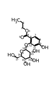 CCCOC(=O)c1ccc(O)cc1O[C@@H]1O[C@H](CO)[C@@H](O)[C@H](O)[C@H]1O